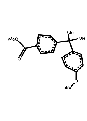 CCCCOc1ccc(C(O)(c2ccc(C(=O)OC)cc2)C(C)(C)C)cc1